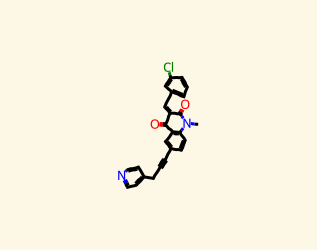 CN1C(=O)/C(=C\c2cccc(Cl)c2)C(=O)c2cc(C#CCc3ccncc3)ccc21